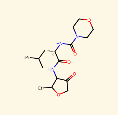 CCC1OCC(=O)C1NC(=O)[C@H](CC(C)C(C)C)NC(=O)N1CCOCC1